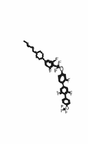 CCCCCC1CCC(c2cc(F)c(C(F)(F)Oc3ccc(-c4cc(F)c(-c5ccc(OC(F)(F)F)cc5)c(F)c4)c(F)c3)c(F)c2)CC1